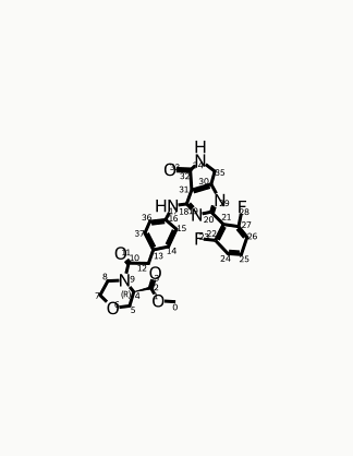 COC(=O)[C@H]1COCCN1C(=O)Cc1ccc(Nc2nc(-c3c(F)cccc3F)nc3c2C(=O)NC3)cc1